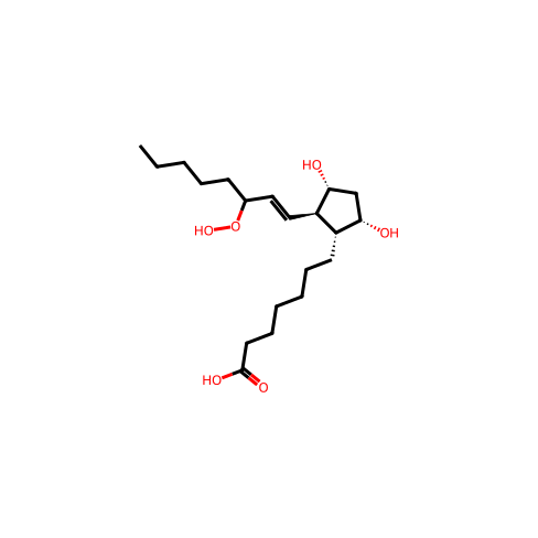 CCCCCC(C=C[C@@H]1[C@@H](CCCCCCC(=O)O)[C@@H](O)C[C@H]1O)OO